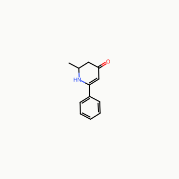 CC1CC(=O)C=C(c2ccccc2)N1